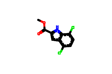 COC(=O)c1cc2c(Cl)ccc(Cl)c2[nH]1